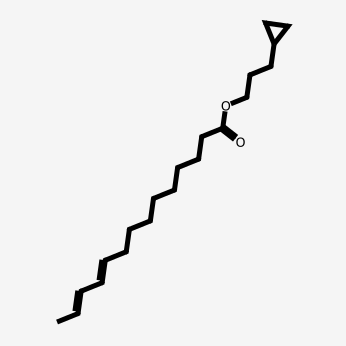 CC=CC=CCCCCCCCCC(=O)OCCCC1CC1